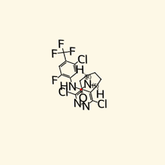 O=C(Nc1cc(Cl)c(C(F)(F)F)cc1F)N1[C@@H]2CC[C@H]1c1c(Cl)nnc(Cl)c1C2